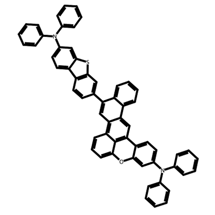 c1ccc(N(c2ccccc2)c2ccc3c(c2)Oc2cccc4c2c-3cc2c3ccccc3c(-c3ccc5c(c3)sc3cc(N(c6ccccc6)c6ccccc6)ccc35)cc42)cc1